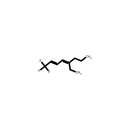 CCC/C(=C/C=C/C(F)(F)F)CC